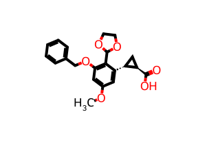 COc1cc(OCc2ccccc2)c(C2OCCO2)c([C@@H]2C[C@H]2C(=O)O)c1